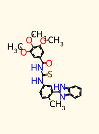 COc1cc(C(=O)NC(=S)Nc2ccc(C)c(-c3nc4ccccc4[nH]3)c2)cc(OC)c1OC